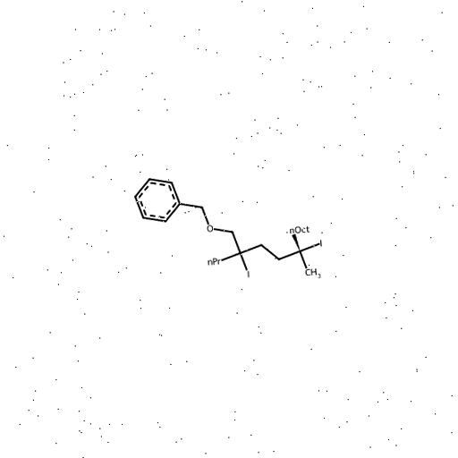 CCCCCCCC[C@](C)(I)CCC(I)(CCC)COCc1ccccc1